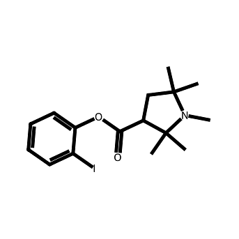 CN1C(C)(C)CC(C(=O)Oc2ccccc2I)C1(C)C